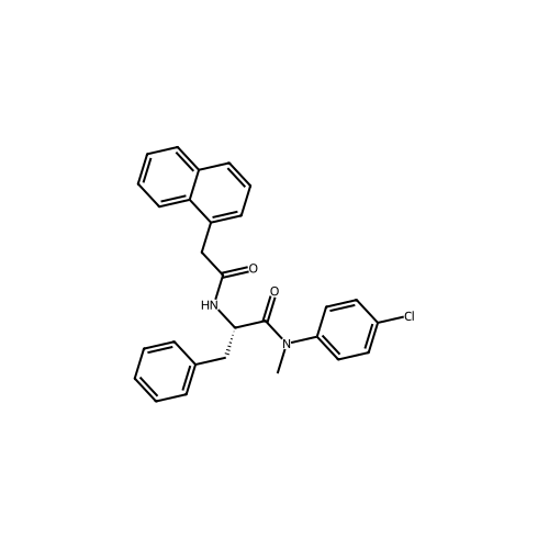 CN(C(=O)[C@H](Cc1ccccc1)NC(=O)Cc1cccc2ccccc12)c1ccc(Cl)cc1